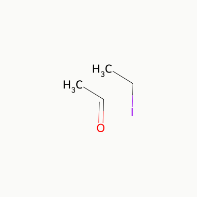 CC=O.CCI